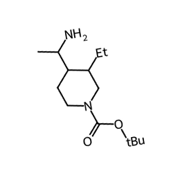 CCC1CN(C(=O)OC(C)(C)C)CCC1C(C)N